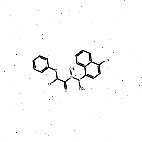 CCCCN(c1ccc(C#N)c2ccccc12)N(C)C(=O)C(CC)Oc1ccccc1